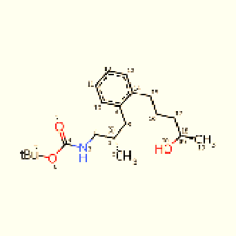 C[C@H](CNC(=O)OC(C)(C)C)Cc1ccccc1CCC[C@@H](C)O